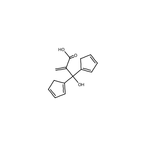 C=C(C(=O)O)C(O)(C1=CC=CC1)C1=CC=CC1